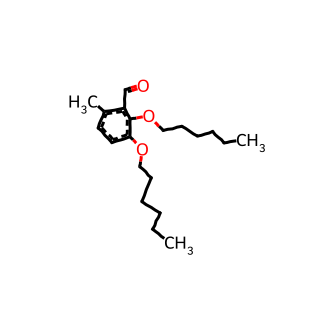 CCCCCCOc1ccc(C)c(C=O)c1OCCCCCC